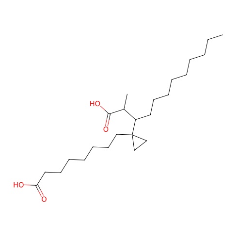 CCCCCCCCCC(C(C)C(=O)O)C1(CCCCCCCC(=O)O)CC1